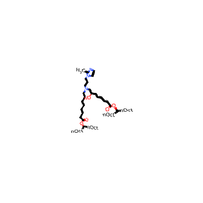 CCCCCCCCC(CCCCCCCC)OC(=O)CCCCCCCN(CCCn1ccnc1C)C[C@H](O)CCCCCC(=O)OC(CCCCCCCC)CCCCCCCC